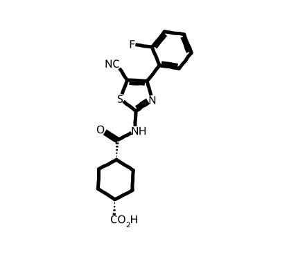 N#Cc1sc(NC(=O)[C@H]2CC[C@@H](C(=O)O)CC2)nc1-c1ccccc1F